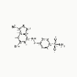 NS(=O)(=O)c1ccc(CNc2nc(Br)cn3c(Br)cnc23)cc1